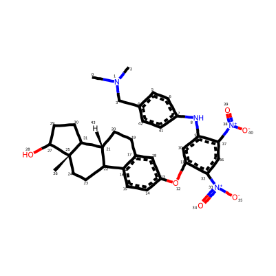 CN(C)Cc1ccc(Nc2cc(Oc3ccc4c(c3)CC[C@@H]3C4CC[C@]4(C)C(O)CCC34)c([N+](=O)[O-])cc2[N+](=O)[O-])cc1